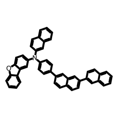 c1ccc2cc(-c3ccc4ccc(-c5ccc(N(c6ccc7ccccc7c6)c6ccc7oc8ccccc8c7c6)cc5)cc4c3)ccc2c1